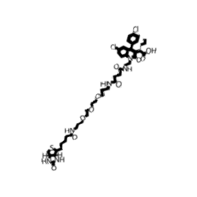 CCC[C@H](C(=O)O)c1c(-c2ccc(Cl)cc2)c2cc(Cl)ccc2n(CCNC(=O)CCC(=O)NCCCOCCOCCOCCCNC(=O)CCCCC2SC[C@H]3NC(=O)N[C@@H]23)c1=O